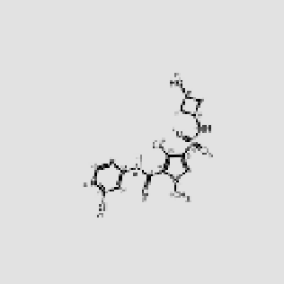 Cn1cc(S(=O)(=O)NC2CC(O)C2)c(Cl)c1C(=O)Nc1ccnc(Cl)c1